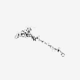 COC(=O)C(Cc1ccc(OC(=O)N2CCCC2)cc1)NC(=O)[C@@H]1C[C@@H](n2cc(C(=O)NCCCOCCOCCOCCCNC(=O)OCc3ccccc3)nn2)CN1S(=O)(=O)c1ccccc1